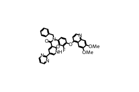 COc1cc2nccc(Oc3ccc(N(Cc4ccccc4)C(=O)c4cc(-c5ncccn5)c[nH]c4=O)cc3F)c2cc1OC